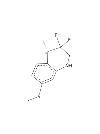 CSc1ccc2c(c1)NCC(F)(F)[C@H]2C